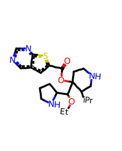 CCOC(C1CCCN1)C1(OC(=O)c2cc3cncnc3s2)CCNCC1C(C)C